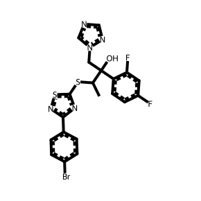 CC(Sc1nc(-c2ccc(Br)cc2)ns1)C(O)(Cn1cncn1)c1ccc(F)cc1F